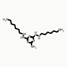 NCCCCCCNNc1nc(N)nc(NNCCCCCCN)n1